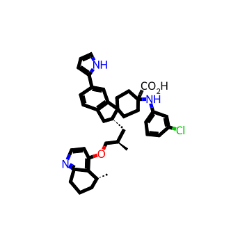 C[C@@H](COc1ccnc2c1[C@H](C)CCC2)C[C@@H]1Cc2ccc(-c3ccc[nH]3)cc2C12CCC(Nc1cccc(Cl)c1)(C(=O)O)CC2